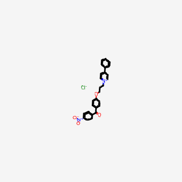 O=C(c1ccc(OCCC[n+]2ccc(-c3ccccc3)cc2)cc1)c1ccc([N+](=O)[O-])cc1.[Cl-]